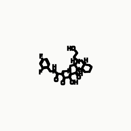 O=C(NCc1ccc(F)cc1F)c1cn2c(c(O)c1=O)C(=O)N1[C@H]3CCCC[C@H]3CN(CCO)[C@@H]1C2